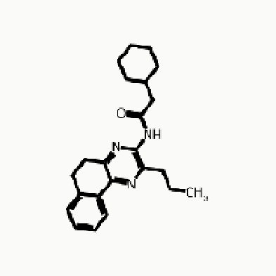 CCCc1nc2c(nc1NC(=O)CC1CCCCC1)CCc1ccccc1-2